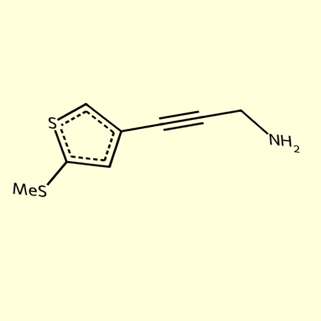 CSc1cc(C#CCN)cs1